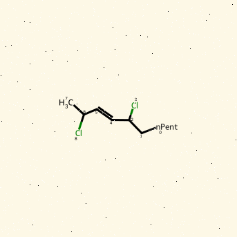 CCCCCCC(Cl)C=CC(C)Cl